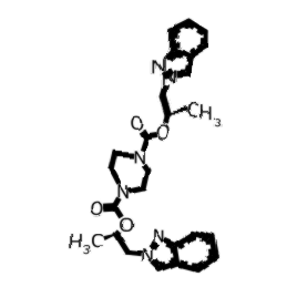 C[C@H](Cn1cc2ccccc2n1)OC(=O)N1CCN(C(=O)O[C@H](C)Cn2cc3ccccc3n2)CC1